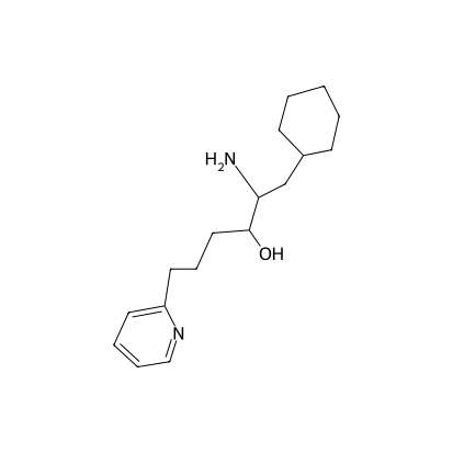 NC(CC1CCCCC1)C(O)CCCc1ccccn1